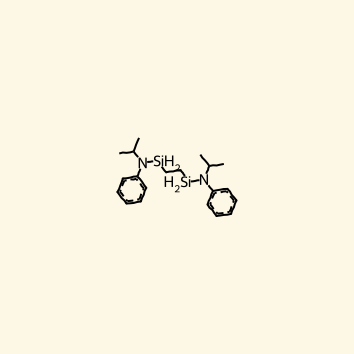 CC(C)N([SiH2]CC[SiH2]N(c1ccccc1)C(C)C)c1ccccc1